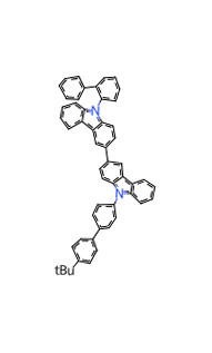 CC(C)(C)c1ccc(-c2ccc(-n3c4ccccc4c4cc(-c5ccc6c(c5)c5ccccc5n6-c5ccccc5-c5ccccc5)ccc43)cc2)cc1